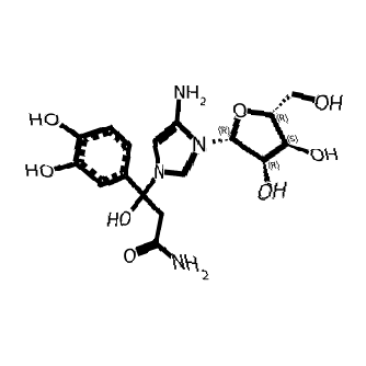 NC(=O)CC(O)(c1ccc(O)c(O)c1)N1C=C(N)N([C@@H]2O[C@H](CO)[C@@H](O)[C@H]2O)C1